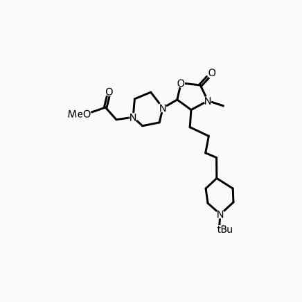 COC(=O)CN1CCN(C2OC(=O)N(C)C2CCCCC2CCN(C(C)(C)C)CC2)CC1